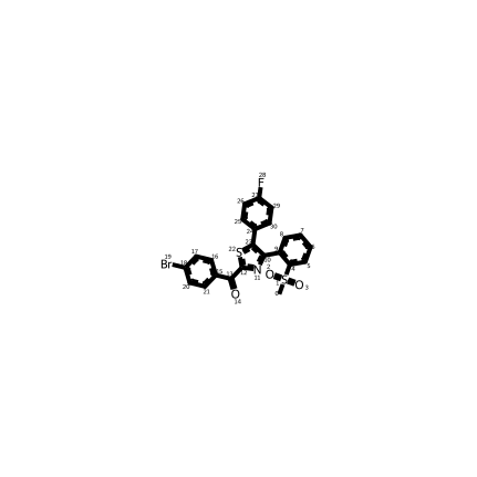 CS(=O)(=O)c1ccccc1-c1nc(C(=O)c2ccc(Br)cc2)sc1-c1ccc(F)cc1